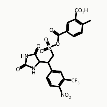 Cc1ccc(C(=O)OS(=O)(=O)CC(c2ccc([N+](=O)[O-])c(C(F)(F)F)c2)C2NC(=O)NC2=O)cc1C(=O)O